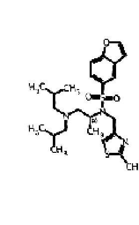 Cc1nc(CN([C@@H](C)CN(CC(C)C)CC(C)C)S(=O)(=O)c2ccc3occc3c2)cs1